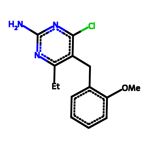 CCc1nc(N)nc(Cl)c1Cc1ccccc1OC